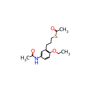 CCOc1ccc(NC(C)=O)cc1CCCSC(C)=O